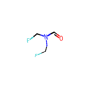 O=CN(CF)CF